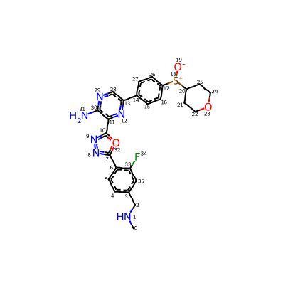 CNCc1ccc(-c2nnc(-c3nc(-c4ccc([S+]([O-])C5CCOCC5)cc4)cnc3N)o2)c(F)c1